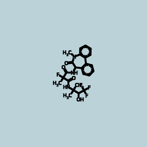 CN1C(=O)C(NC(=O)C(C)(F)C(=O)NC(C)(C)C(O)C(F)(F)F)c2ccccc2-c2ccccc21